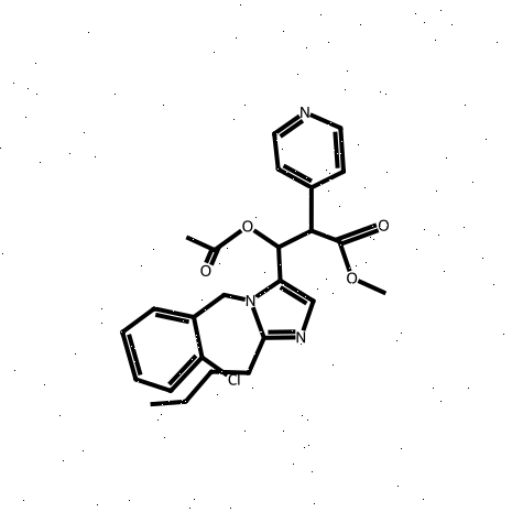 CCCCc1ncc(C(OC(C)=O)C(C(=O)OC)c2ccncc2)n1Cc1ccccc1Cl